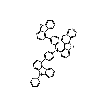 c1ccc(-n2c3ccccc3c3c(-c4ccc(N(c5cccc(-c6cccc7sc8ccccc8c67)c5)c5cccc6oc7c8ccccc8ccc7c56)cc4)cccc32)cc1